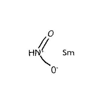 O=[NH+][O-].[Sm]